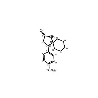 COc1ccc([C@H]2CC(=O)NC23CCCCC3)cc1